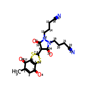 CC1=CC(=O)C2=C(SC(C3C(=O)N(CCCC#N)N(CCCC#N)C3=O)S2)C1=O